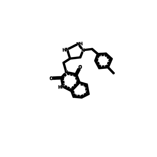 Cc1ccc(CN2CC(Cn3c(=O)[nH]c4ccccc4c3=O)NN2)cc1